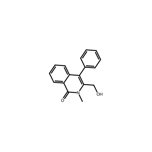 Cn1c(CO)c(-c2ccccc2)c2ccccc2c1=O